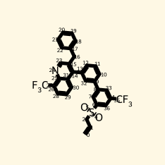 C=CCS(=O)(=O)c1cc(-c2cccc(-c3c(Cc4ccccc4)cnc4c(C(F)(F)F)cccc34)c2)cc(C(F)(F)F)c1